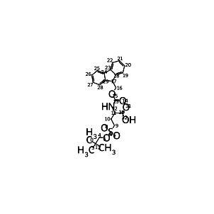 CC(C)(C)COS(=O)(=O)CCC(NC(=O)OCC1c2ccccc2-c2ccccc21)C(=O)O